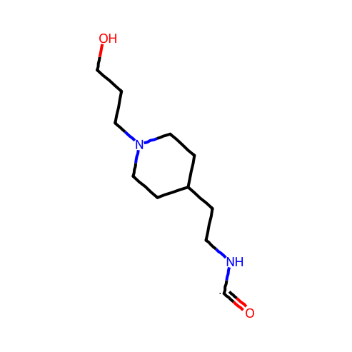 O=[C]NCCC1CCN(CCCO)CC1